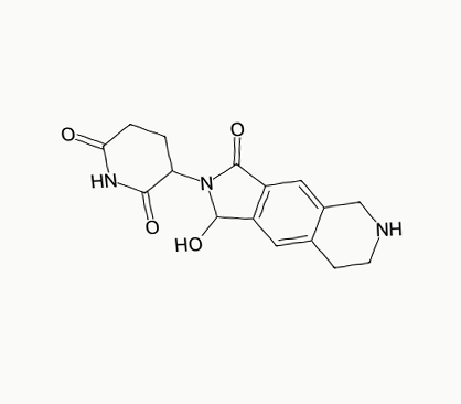 O=C1CCC(N2C(=O)c3cc4c(cc3C2O)CCNC4)C(=O)N1